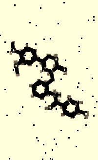 COc1ccc(C2=NN(Cc3ccccc3NC(=O)c3ccc(Cl)nn3)C(=O)OC2)cc1OC